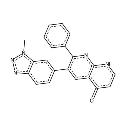 Cn1nnc2ccc(-c3cc4c(=O)cc[nH]c4nc3-c3ccccc3)cc21